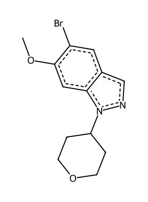 COc1cc2c(cnn2C2CCOCC2)cc1Br